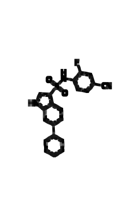 N#Cc1ccc(NS(=O)(=O)c2c[nH]c3cc(-c4ccccc4)ccc23)c(F)c1